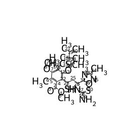 COC(=O)c1c(C)c(OC)cc(O[Si](C)(C)C(C)(C)C(C)C)c1C(S)CC(NC(N)=S)c1nc(C)no1